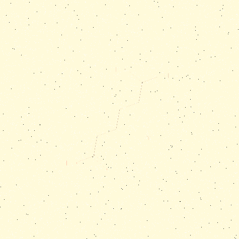 CC(C)CCCCC(=O)O.[Pr]